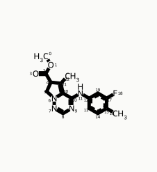 COC(=O)C1CN2N=CN=C(Nc3ccc(C)c(F)c3)C2=C1C